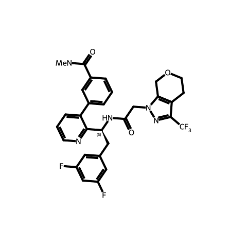 CNC(=O)c1cccc(-c2cccnc2[C@H](Cc2cc(F)cc(F)c2)NC(=O)Cn2nc(C(F)(F)F)c3c2COCC3)c1